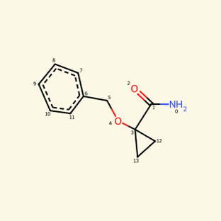 NC(=O)C1(OCc2ccccc2)CC1